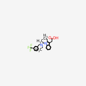 CCc1c(CC(=O)O)c2ccccc2n1C(C)N(CC)Cc1cccc(C(F)(F)F)c1